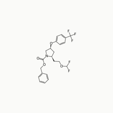 O=C(OCc1ccccc1)N1C[C@@H](Oc2ccc(C(F)(F)F)cc2)C[C@H]1CCOC(F)F